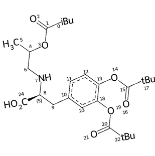 CCC(C)C(=O)OC(C)CN[C@@H](Cc1ccc(OC(=O)C(C)(C)C)c(OC(=O)C(C)(C)C)c1)C(=O)O